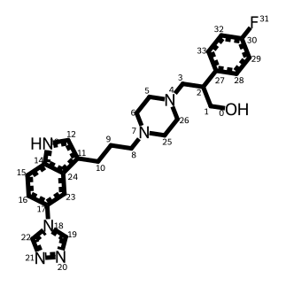 OCC(CN1CCN(CCCc2c[nH]c3ccc(-n4cnnc4)cc23)CC1)c1ccc(F)cc1